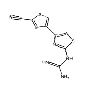 N#Cc1nc(-c2csc(NC(=N)N)n2)cs1